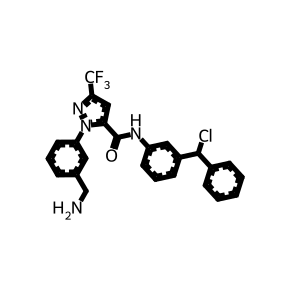 NCc1cccc(-n2nc(C(F)(F)F)cc2C(=O)Nc2cccc(C(Cl)c3ccccc3)c2)c1